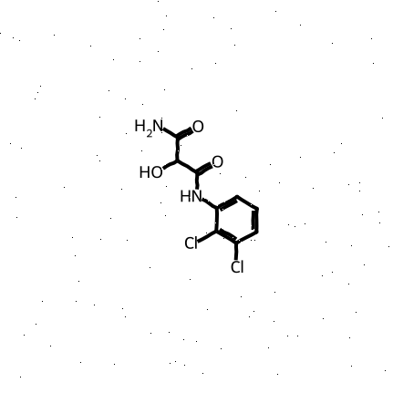 NC(=O)C(O)C(=O)Nc1cccc(Cl)c1Cl